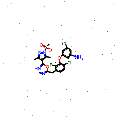 C/N=C(/Cc1ccc(Cl)c(Oc2cc(N)cc(Cl)c2)c1F)OC(=N)c1c(C)nn(S(C)(=O)=O)c1C